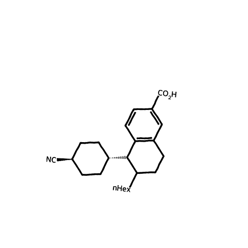 CCCCCCC1CCc2cc(C(=O)O)ccc2C1[C@H]1CC[C@H](C#N)CC1